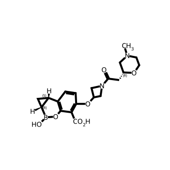 CN1CCO[C@H](CC(=O)N2CC(Oc3ccc4c(c3C(=O)O)OB(O)[C@@H]3C[C@H]43)C2)C1